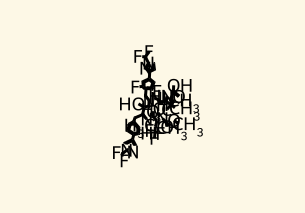 COC(=O)NC(C(=O)NC(Cc1ccc(-c2cnn(C(F)F)c2)cc1)C(O)CN(Cc1c(F)cc(-c2ccn(C(F)F)n2)cc1F)NC(=O)C(NC(=O)O)C(C)(C)C)C(C)(C)C(F)(F)F